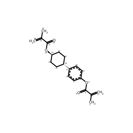 C=C(C)C(=O)Oc1ccc([C@H]2CC[C@H](OC(=O)C(=C)C)CC2)cc1